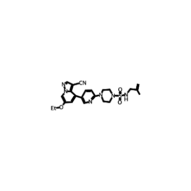 C=C(C)CNS(=O)(=O)N1CCN(c2ccc(-c3cc(OCC)cn4ncc(C#N)c34)cn2)CC1